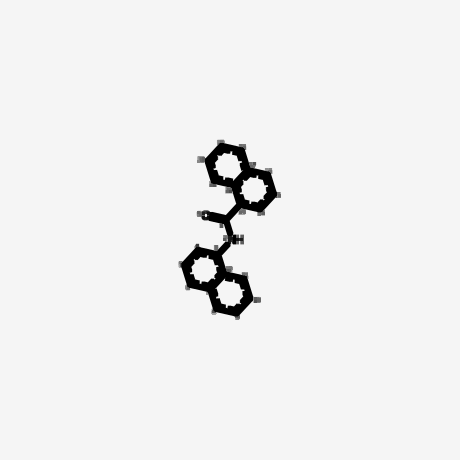 O=C(Nc1cccc2ccccc12)c1cccc2ccccc12